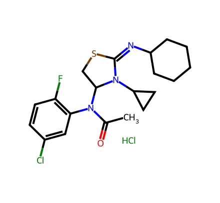 CC(=O)N(c1cc(Cl)ccc1F)C1CSC(=NC2CCCCC2)N1C1CC1.Cl